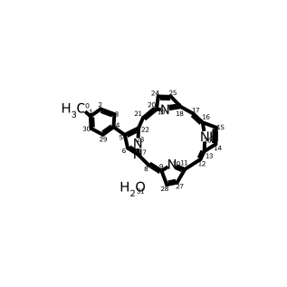 Cc1ccc(-c2cc3cc4nc(cc5ccc(cc6nc(cc2[nH]3)C=C6)[nH]5)C=C4)cc1.O